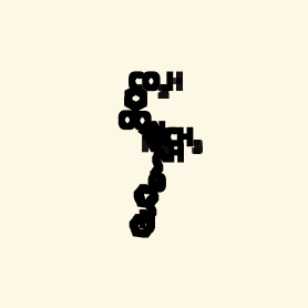 Cn1nc(COC(=O)C2CCC(C(=O)O)CC2)nc1NCCCOc1cccc(CN2CCCCC2)c1